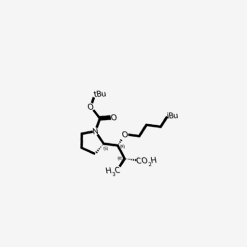 CCC(C)CCCO[C@H]([C@@H](C)C(=O)O)[C@@H]1CCCN1C(=O)OC(C)(C)C